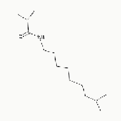 CC(C)CCCCCCCNC(=O)C(C)C